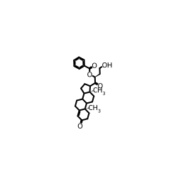 C[C@]12CCC3C(CCC4=CC(=O)CC[C@@]43C)C1CCC2C(=O)[C@H](CCO)OC(=O)c1ccccc1